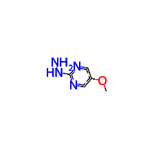 COc1cnc(NN)nc1